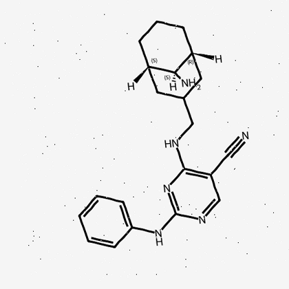 N#Cc1cnc(Nc2ccccc2)nc1NCC1C[C@H]2CCC[C@@H](C1)[C@@H]2N